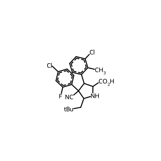 Cc1c(Cl)cccc1C1C(C(=O)O)NC(CC(C)(C)C)C1(C#N)c1ccc(Cl)cc1F